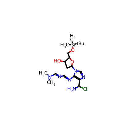 CN(C)/C=N/C=N/c1c(C(N)Cl)ncn1C1CC(O)C(CO[Si](C)(C)C(C)(C)C)O1